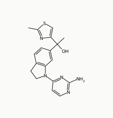 Cc1nc(C(C)(O)c2ccc3c(c2)N(c2ccnc(N)n2)CC3)cs1